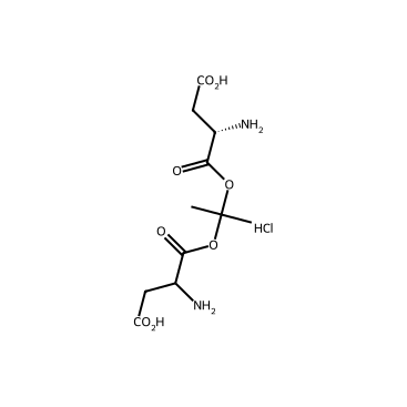 CC(C)(OC(=O)C(N)CC(=O)O)OC(=O)[C@@H](N)CC(=O)O.Cl